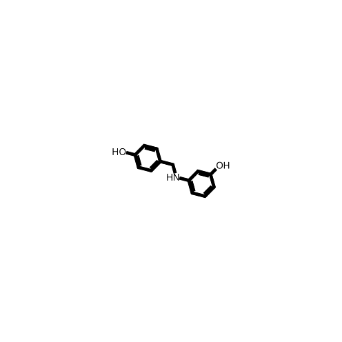 Oc1ccc(CNc2cccc(O)c2)cc1